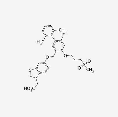 Cc1cccc(C)c1-c1cc(COc2cc3c(cn2)C(CC(=O)O)CS3)c(OCCCS(C)(=O)=O)cc1F